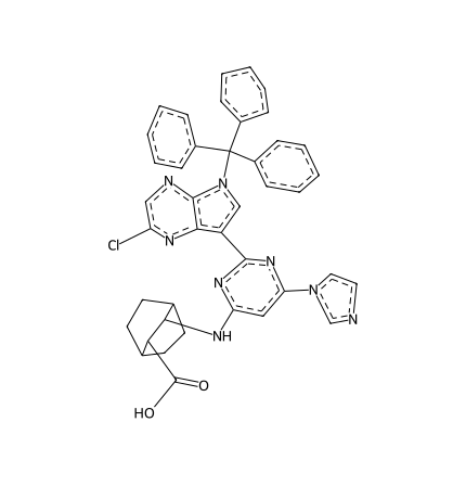 O=C(O)C1C2CCC(CC2)C1Nc1cc(-n2ccnc2)nc(-c2cn(C(c3ccccc3)(c3ccccc3)c3ccccc3)c3ncc(Cl)nc23)n1